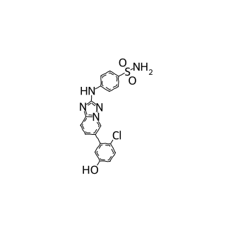 NS(=O)(=O)c1ccc(Nc2nc3ccc(-c4cc(O)ccc4Cl)cn3n2)cc1